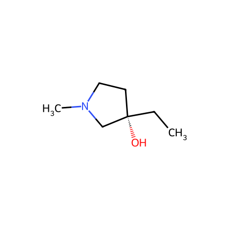 CC[C@]1(O)CCN(C)C1